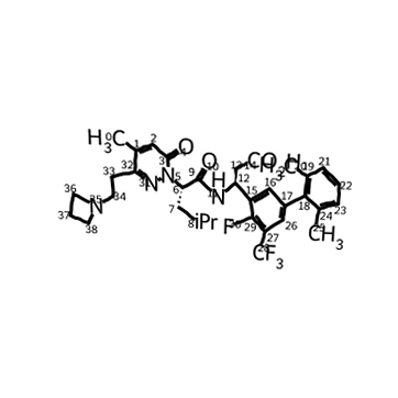 Cc1cc(=O)n([C@@H](CC(C)C)C(=O)N[C@@H](CC(=O)O)c2cc(-c3c(C)cccc3C)cc(C(F)(F)F)c2F)nc1CCN1CCC1